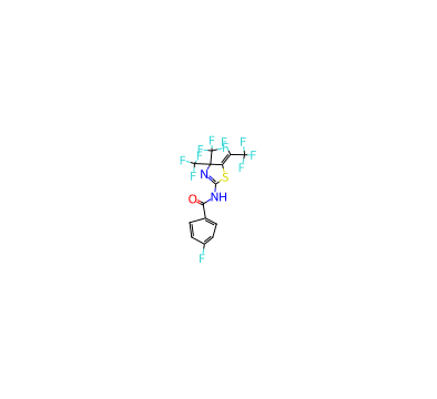 O=C(NC1=NC(C(F)(F)F)(C(F)(F)F)/C(=C(\F)C(F)(F)F)S1)c1ccc(F)cc1